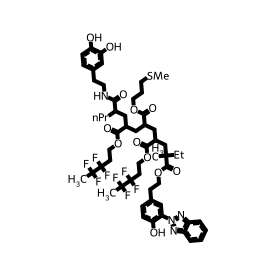 CCCC(CC(CC(CC(CC(C)(CC)C(=O)OCCc1ccc(O)c(-n2nc3ccccc3n2)c1)C(=O)OCCC(F)(F)C(C)(F)F)C(=O)OCCCSC)C(=O)OCCC(F)(F)C(C)(F)F)C(=O)NCCc1ccc(O)c(O)c1